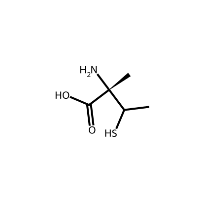 CC(S)[C@@](C)(N)C(=O)O